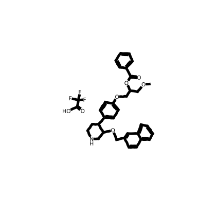 COCC(COc1ccc(C2CCNCC2OCc2ccc3ccccc3c2)cc1)OC(=O)c1ccccc1.O=C(O)C(F)(F)F